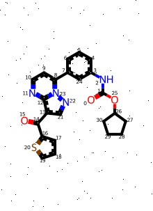 O=C(Nc1cccc(-c2ccnc3c(C(=O)c4cccs4)cnn23)c1)OC1CCCC1